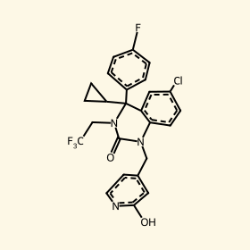 O=C1N(Cc2ccnc(O)c2)c2ccc(Cl)cc2C(c2ccc(F)cc2)(C2CC2)N1CC(F)(F)F